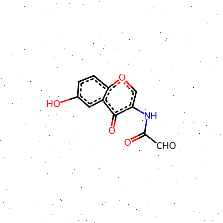 O=CC(=O)Nc1coc2ccc(O)cc2c1=O